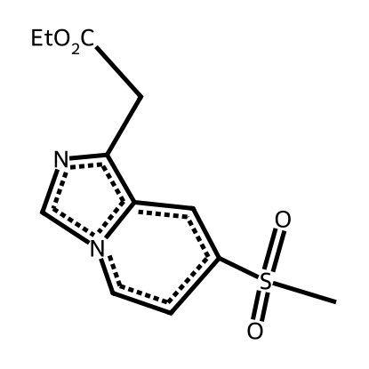 CCOC(=O)Cc1ncn2ccc(S(C)(=O)=O)cc12